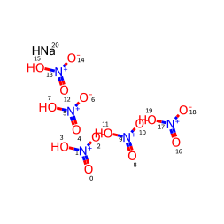 O=[N+]([O-])O.O=[N+]([O-])O.O=[N+]([O-])O.O=[N+]([O-])O.O=[N+]([O-])O.[NaH]